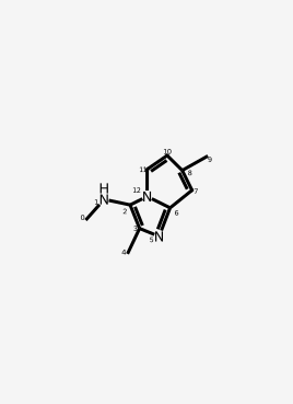 CNc1c(C)nc2cc(C)ccn12